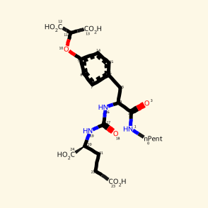 CCCCCNC(=O)C(Cc1ccc(OC(C(=O)O)C(=O)O)cc1)NC(=O)N[C@@H](CCC(=O)O)C(=O)O